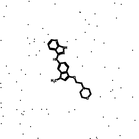 Cn1cc(OCCN2CCOCC2)c2ccc(Nc3n[nH]c4ncccc34)cc21